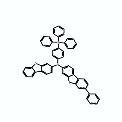 c1ccc(-c2ccc3c(c2)sc2cc(N(c4ccc([Si](c5ccccc5)(c5ccccc5)c5ccccc5)cc4)c4ccc5c(c4)oc4ccccc45)ccc23)cc1